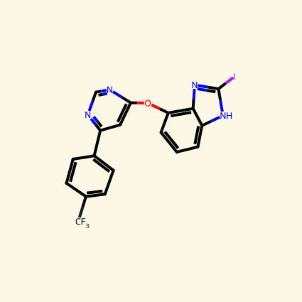 FC(F)(F)c1ccc(-c2cc(Oc3cccc4[nH]c(I)nc34)ncn2)cc1